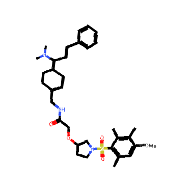 COc1cc(C)c(S(=O)(=O)N2CCC(OCC(=O)NCC3CCC(C(CCc4ccccc4)N(C)C)CC3)C2)c(C)c1C